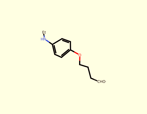 CCNc1ccc(OCCC[C]=O)cc1